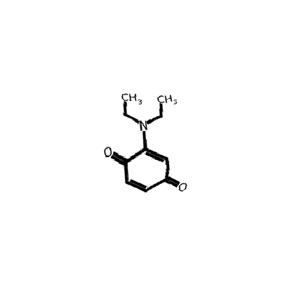 CCN(CC)C1=CC(=O)C=CC1=O